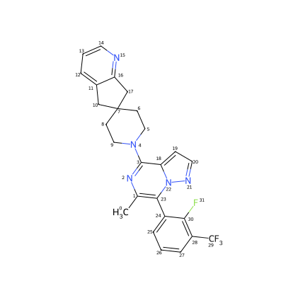 Cc1nc(N2CCC3(CC2)Cc2cccnc2C3)c2ccnn2c1-c1cccc(C(F)(F)F)c1F